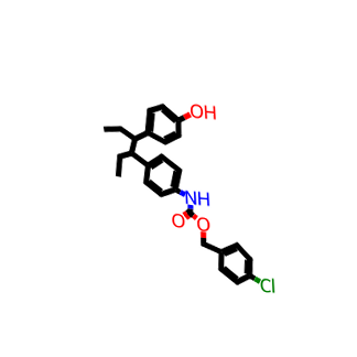 CCC(c1ccc(O)cc1)C(CC)c1ccc(NC(=O)OCc2ccc(Cl)cc2)cc1